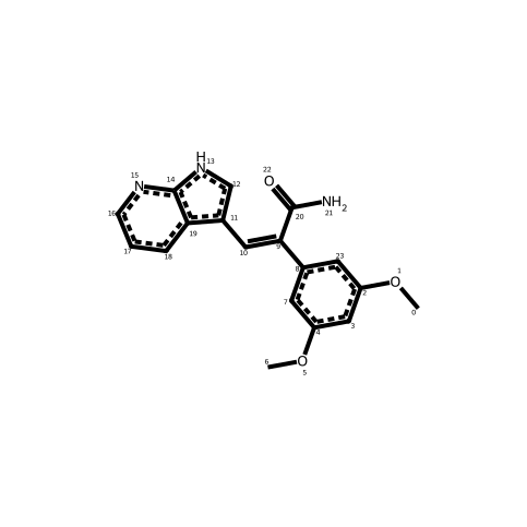 COc1cc(OC)cc(C(=Cc2c[nH]c3ncccc23)C(N)=O)c1